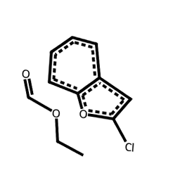 CCOC=O.Clc1cc2ccccc2o1